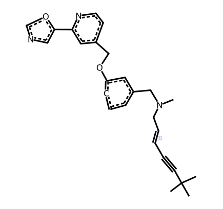 CN(C/C=C/C#CC(C)(C)C)Cc1cccc(OCc2ccnc(-c3cnco3)c2)c1